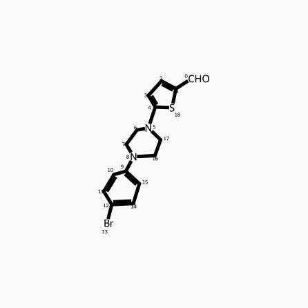 O=Cc1ccc(N2CCN(c3ccc(Br)cc3)CC2)s1